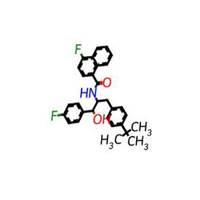 CC(C)(C)c1ccc(CC(NC(=O)c2ccc(F)c3ccccc23)C(O)c2ccc(F)cc2)cc1